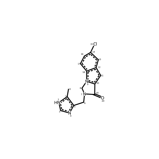 Cc1[nH]cnc1CN1Cn2c(cc3cc(Cl)ccc32)C1=O